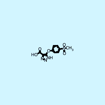 CS(=O)(=O)c1ccc(Oc2[nH]nnc2C(=O)O)cc1